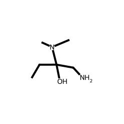 CCC(O)(CN)N(C)C